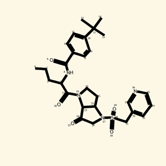 CCCC(NC(=O)c1ccc(C(C)(C)C)cc1)C(=O)N1CCC2C1C(=O)CN2S(=O)(=O)Cc1cccnc1